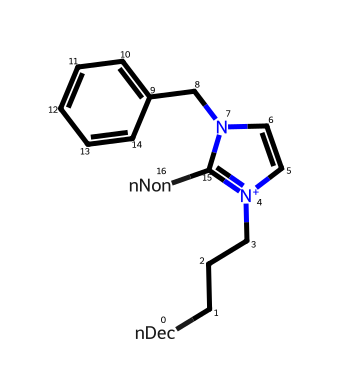 CCCCCCCCCCCCC[n+]1ccn(Cc2ccccc2)c1CCCCCCCCC